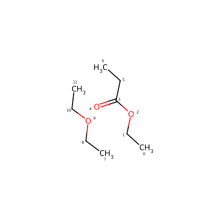 CCOC(=O)CC.CCOCC